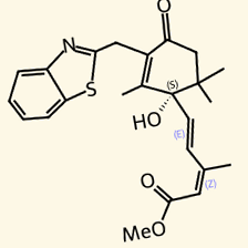 COC(=O)/C=C(C)\C=C\[C@@]1(O)C(C)=C(Cc2nc3ccccc3s2)C(=O)CC1(C)C